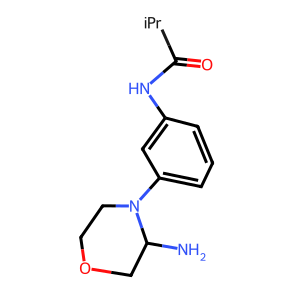 CC(C)C(=O)Nc1cccc(N2CCOCC2N)c1